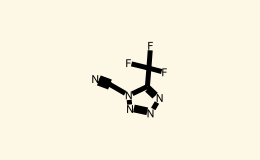 N#Cn1nnnc1C(F)(F)F